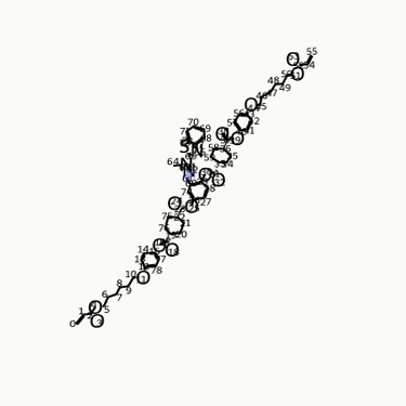 C=CC(=O)OCCCCCCOc1ccc(OC(=O)[C@H]2CC[C@H](C(=O)Oc3ccc(OC(=O)[C@H]4CC[C@H](C(=O)Oc5ccc(OCCCCCCOC(=O)C=C)cc5)CC4)c(/C=N/N(C)c4nc5ccccc5s4)c3)CC2)cc1